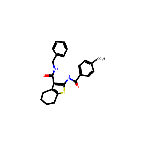 O=C(O)c1ccc(C(=O)Nc2sc3c(c2C(=O)NCc2ccccc2)CCCC3)cc1